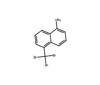 CCCCc1cccc2c(C(Br)(Br)Br)cccc12